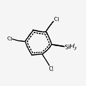 [SiH3]c1c(Cl)cc(Cl)cc1Cl